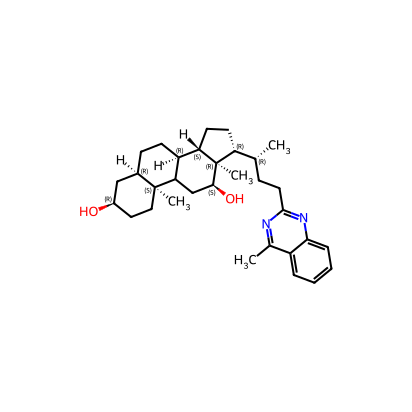 Cc1nc(CC[C@@H](C)[C@H]2CC[C@H]3[C@@H]4CC[C@@H]5C[C@H](O)CC[C@]5(C)C4C[C@H](O)[C@]23C)nc2ccccc12